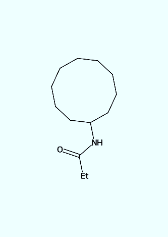 CCC(=O)NC1CCCCCCCCC1